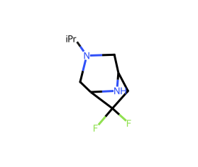 CC(C)N1CC2CC(F)(F)C(C1)N2